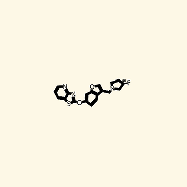 F[C@@H]1CCN(Cc2coc3cc(Oc4nc5ncccc5s4)ccc23)C1